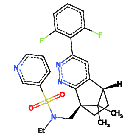 CCN(C[C@@]12CC[C@@H](c3cc(-c4c(F)cccc4F)nnc31)C2(C)C)S(=O)(=O)c1cccnc1